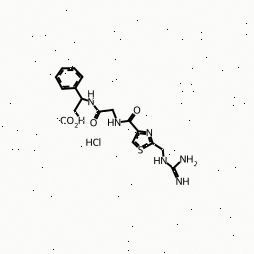 Cl.N=C(N)NCc1nc(C(=O)NCC(=O)NC(CC(=O)O)c2ccccc2)cs1